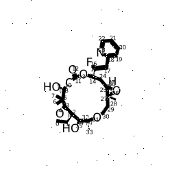 CC[C@H]1C(=O)C(C)(C)[C@@H](O)CC(=O)O[C@H](C(F)=Cc2ccccn2)C[C@@H]2O[C@]2(C)CCO[C@H](C)[C@H]1O